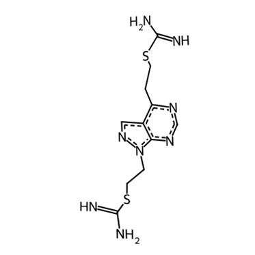 N=C(N)SCCc1ncnc2c1cnn2CCSC(=N)N